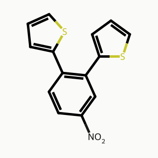 O=[N+]([O-])c1ccc(-c2cccs2)c(-c2cccs2)c1